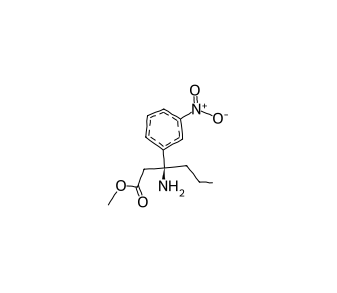 CCC[C@](N)(CC(=O)OC)c1cccc([N+](=O)[O-])c1